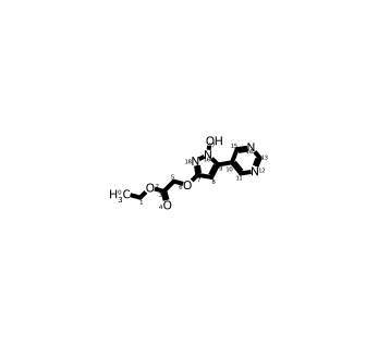 CCOC(=O)COc1cc(-c2cncnc2)n(O)n1